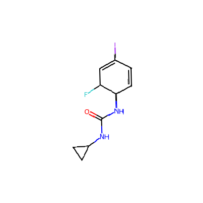 O=C(NC1CC1)NC1C=CC(I)=CC1F